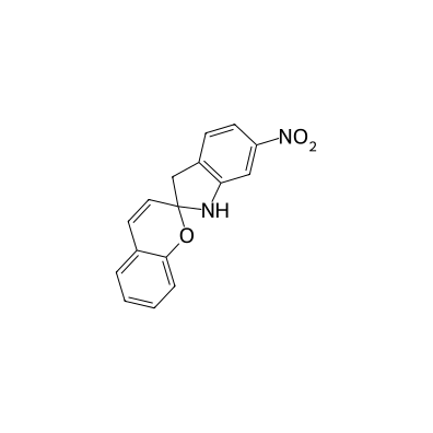 O=[N+]([O-])c1ccc2c(c1)NC1(C=Cc3ccccc3O1)C2